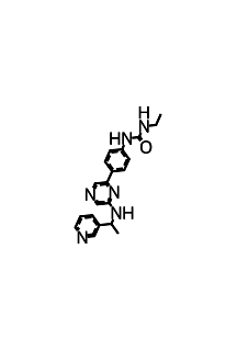 CCNC(=O)Nc1ccc(-c2cncc(NC(C)c3cccnc3)n2)cc1